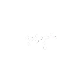 c1ccc(-c2ccc(N(c3ccc(-c4cccc(-c5ccc6c(c5)c5ccccc5n6-c5ccccc5)c4-c4ccccc4)cc3)c3ccc(-c4cccc5c4oc4ccccc45)cc3)cc2)cc1